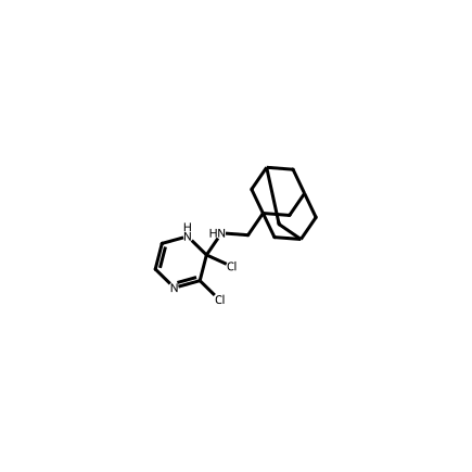 ClC1=NC=CNC1(Cl)NCC12CC3CC(CC(C3)C1)C2